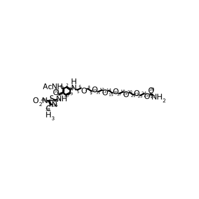 CC(=O)Nc1cc(NCCOCCOCCOCCOCCOCCOCCOC(N)=O)ccc1C(=O)Nc1nc(C)c([N+](=O)[O-])s1